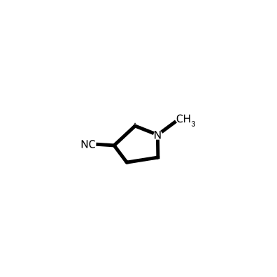 CN1[CH]C(C#N)CC1